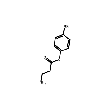 CC(C)(C)c1ccc(OC(=O)CCN)cc1